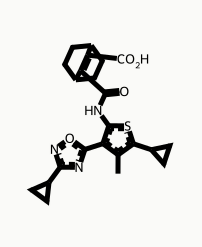 Cc1c(C2CC2)sc(NC(=O)C2=C(C(=O)O)C3CCC2CC3)c1-c1nc(C2CC2)no1